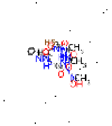 CC(=O)N[C@@H](CS)C(=O)N[C@@H](C)C(=O)N[C@@H](C)C(=O)N[C@@H](CCCCNC(=O)C(N)Cc1ccccc1)C(=O)NCCN(C)CO